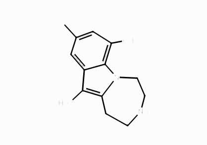 Cc1c2n(c3c(O)cc(F)cc13)CCNCC2